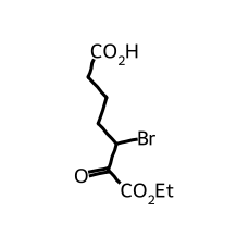 CCOC(=O)C(=O)C(Br)CCCC(=O)O